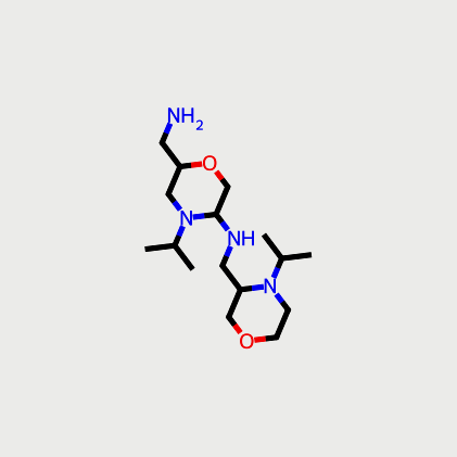 CC(C)N1CCOCC1CNC1COC(CN)CN1C(C)C